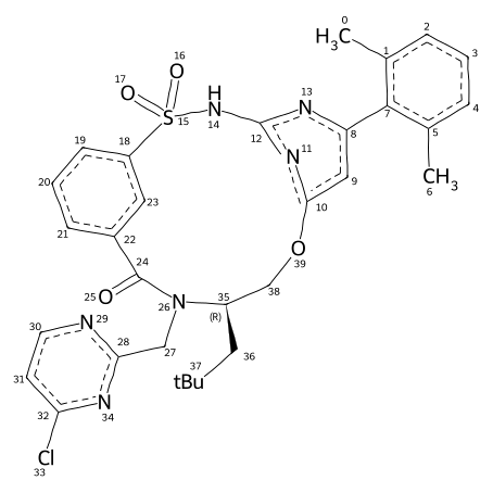 Cc1cccc(C)c1-c1cc2nc(n1)NS(=O)(=O)c1cccc(c1)C(=O)N(Cc1nccc(Cl)n1)[C@H](CC(C)(C)C)CO2